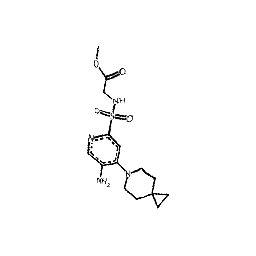 COC(=O)CNS(=O)(=O)c1cc(N2CCC3(CC2)CC3)c(N)cn1